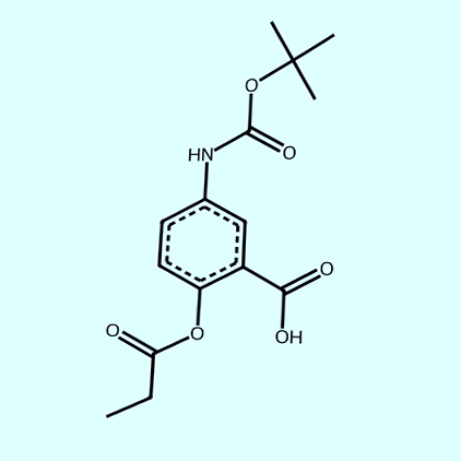 CCC(=O)Oc1ccc(NC(=O)OC(C)(C)C)cc1C(=O)O